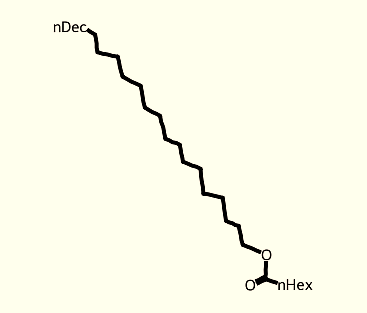 CCCCCCCCCCCCCCCCCCCCCCCCCCOC(=O)CCCCCC